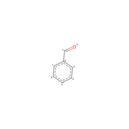 O=[C]c1cc[c]cc1